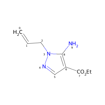 C=CCn1ncc(C(=O)OCC)c1N